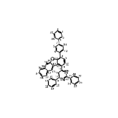 c1ccc(-c2ccc(-c3ccc(-c4cc(-c5ccccc5)nc(-c5ccccc5)n4)c4c3oc3cc5ccccc5cc34)cc2)cc1